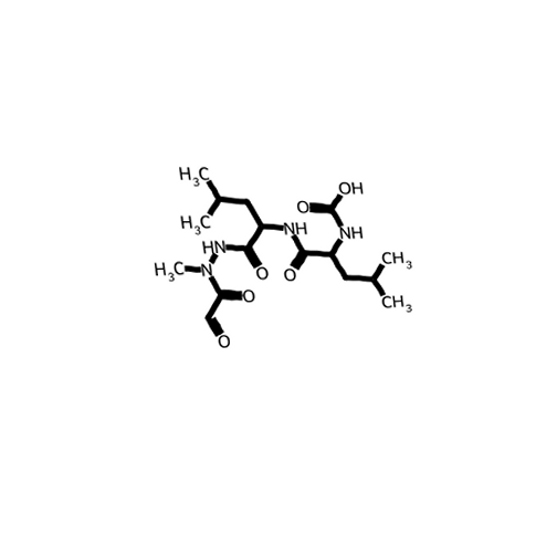 CC(C)CC(NC(=O)O)C(=O)NC(CC(C)C)C(=O)NN(C)C(=O)C=O